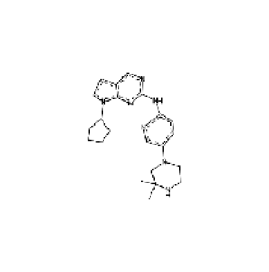 CC1(C)CN(c2ccc(Nc3ncc4ccn(C5CCCC5)c4n3)nc2)CCN1